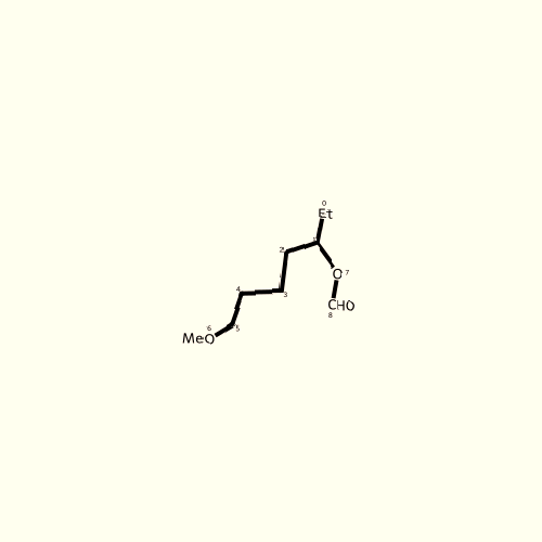 [CH2]CC(CCCCOC)OC=O